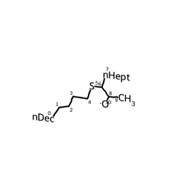 CCCCCCCCCCCCCCSC(CCCCCCC)C(C)[O]